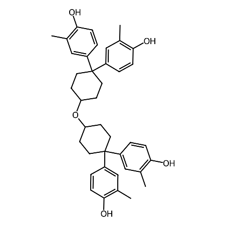 Cc1cc(C2(c3ccc(O)c(C)c3)CCC(OC3CCC(c4ccc(O)c(C)c4)(c4ccc(O)c(C)c4)CC3)CC2)ccc1O